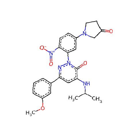 COc1cccc(-c2cc(NC(C)C)c(=O)n(-c3cc(N4CCC(=O)C4)ccc3[N+](=O)[O-])n2)c1